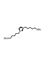 CC(C)COCCCCCn1cc[n+](CCCCCOCC(C)C)c1